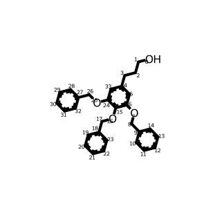 OCCCc1cc(OCc2ccccc2)c(OCc2ccccc2)c(OCc2ccccc2)c1